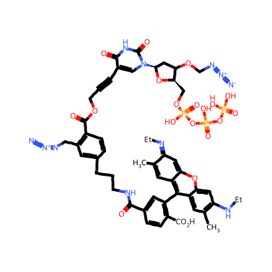 CC/N=c1/cc2oc3cc(NCC)c(C)cc3c(-c3cc(C(=O)NCCCc4ccc(C(=O)OCC#Cc5cn([C@H]6CC(OCN=[N+]=[N-])[C@@H](COP(=O)(O)OP(=O)(O)OP(=O)(O)O)O6)c(=O)[nH]c5=O)c(CN=[N+]=[N-])c4)ccc3C(=O)O)c-2cc1C